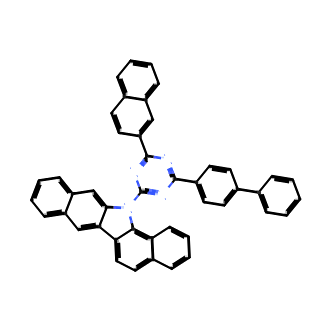 c1ccc(-c2ccc(-c3nc(-c4ccc5ccccc5c4)nc(-n4c5cc6ccccc6cc5c5ccc6ccccc6c54)n3)cc2)cc1